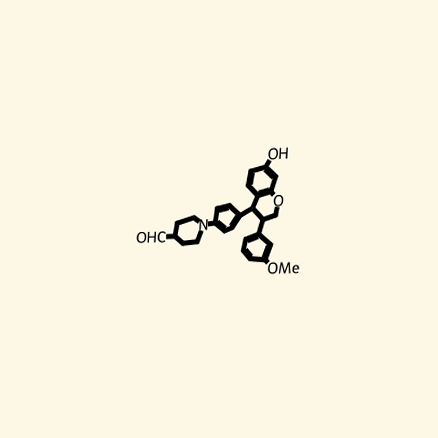 COc1cccc(C2COc3cc(O)ccc3C2c2ccc(N3CCC(C=O)CC3)cc2)c1